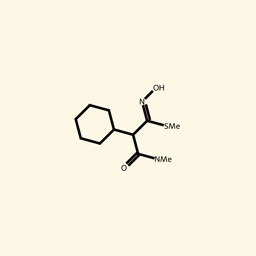 CNC(=O)C(C(=NO)SC)C1CCCCC1